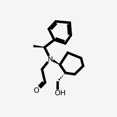 C[C@@H](c1ccccc1)N(CC=O)[C@H]1CCCC[C@@H]1CO